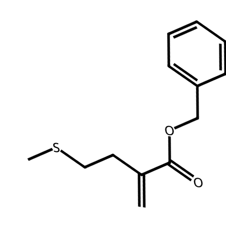 C=C(CCSC)C(=O)OCc1ccccc1